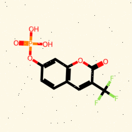 O=c1oc2cc(OP(=O)(O)O)ccc2cc1C(F)(F)F